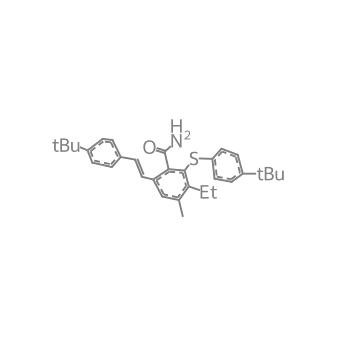 CCc1c(C)cc(C=Cc2ccc(C(C)(C)C)cc2)c(C(N)=O)c1Sc1ccc(C(C)(C)C)cc1